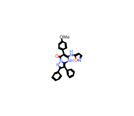 COc1ccc(-c2c(Nc3ccno3)[nH]c3c(-c4ccccc4)c(-c4ccccc4)nn3c2=O)cc1